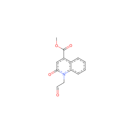 COC(=O)c1cc(=O)n(CC=O)c2ccccc12